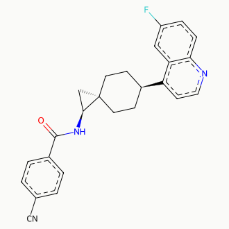 N#Cc1ccc(C(=O)N[C@H]2C[C@]23CC[C@H](c2ccnc4ccc(F)cc42)CC3)cc1